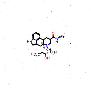 CCCNC(=O)C1CC2c3cccc4[nH]cc(c34)C[C@H]2N(C)C1.O=C(O)CC(O)C(=O)O